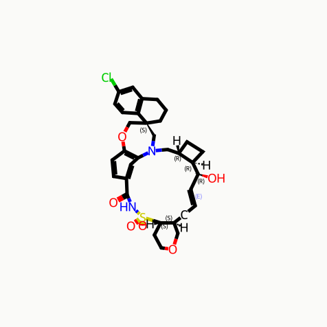 O=C1NS(=O)(=O)[C@H]2CCOC[C@@H]2C/C=C/[C@H](O)[C@@H]2CC[C@H]2CN2C[C@@]3(CCCc4cc(Cl)ccc43)COc3ccc1cc32